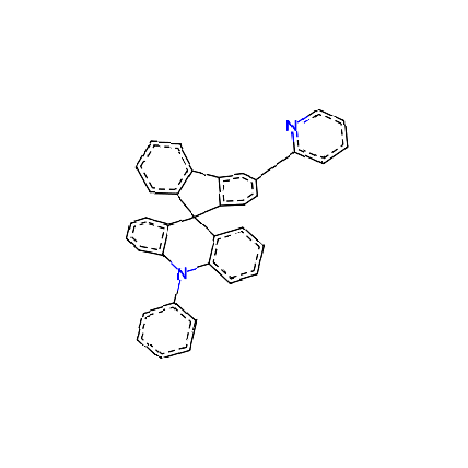 c1ccc(N2c3ccccc3C3(c4ccccc4-c4cc(-c5ccccn5)ccc43)c3ccccc32)cc1